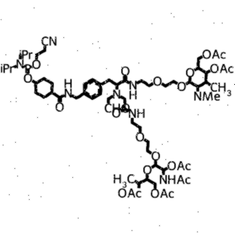 CNC1C(OCCOCCNC(=O)C(Cc2ccc(CNC(=O)C3CCC(OP(OCCC#N)N(C(C)C)C(C)C)CC3)cc2)N(CC=O)CC(=O)NCCOCCOC(OC(COC(C)=O)C(C)OC(C)=O)C(NC(C)=O)OC(C)=O)OC(COC(C)=O)C(OC(C)=O)C1C